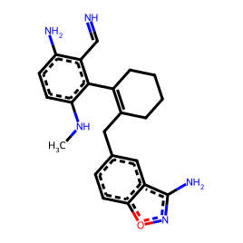 CNc1ccc(N)c(C=N)c1C1=C(Cc2ccc3onc(N)c3c2)CCCC1